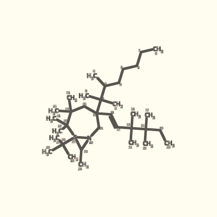 CCCCCC(C)C(C)(C)C1(C=CC(C)(C)C(C)(C)CC)CN2C(C)S2(C(C)(C)C)C(C)(C)C(C)(C)C1